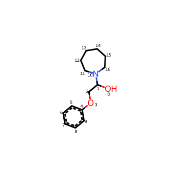 OC(COc1ccccc1)N1CCCCCC1